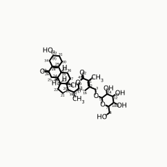 CC1=C(COC2OC(CO)C(O)C(O)C2O)C[C@H]([C@@H](C)[C@H]2CC[C@H]3[C@@H]4CC(=O)C5=C(CC[C@@H](O)C5)[C@H]4CC[C@]23C)OC1=O